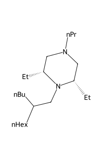 CCCCCCC(CCCC)CN1[C@H](CC)CN(CCC)C[C@@H]1CC